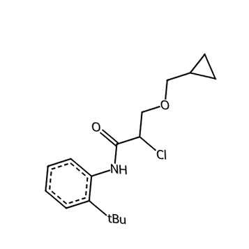 CC(C)(C)c1ccccc1NC(=O)C(Cl)COCC1CC1